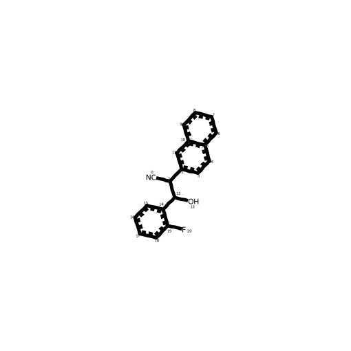 N#CC(c1ccc2ccccc2c1)C(O)c1ccccc1F